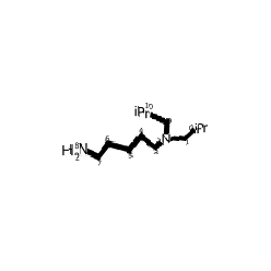 CC(C)CN(CCCCCN)CC(C)C